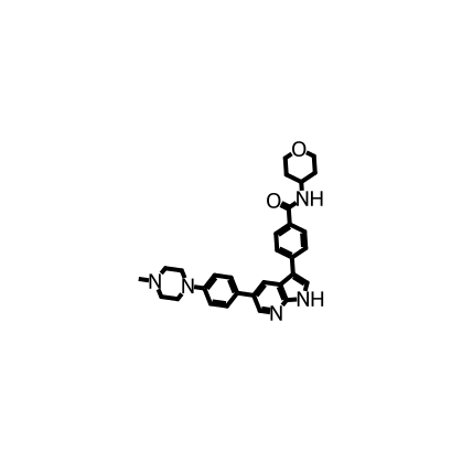 CN1CCN(c2ccc(-c3cnc4[nH]cc(-c5ccc(C(=O)NC6CCOCC6)cc5)c4c3)cc2)CC1